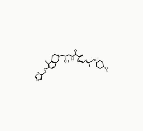 C=C(/N=C\N=C(/C)N[C@H]1CC[C@@H](OC)CC1)C(=O)NC[C@H](O)CN1CCc2c(ccc(OCc3cnco3)c2C)C1